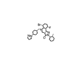 Cc1ccccc1-n1nc2c3c(F)ccc(Br)c3n(Cc3ccc(-n4cccn4)cc3)cc-2c1=O